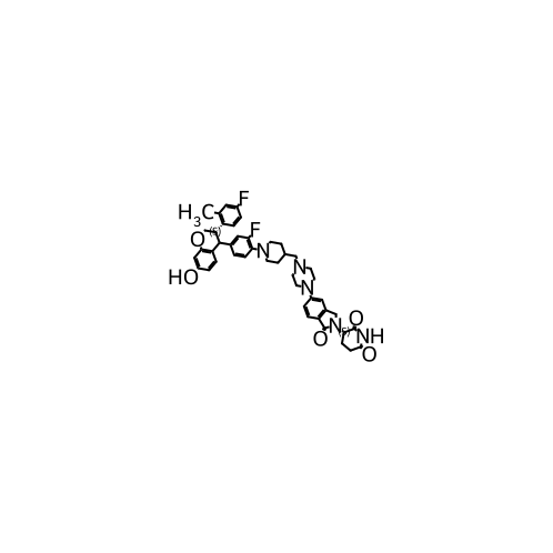 Cc1cc(F)ccc1[C@H]1COc2cc(O)ccc2C1c1ccc(N2CCC(CN3CCN(c4ccc5c(c4)CN([C@H]4CCC(=O)NC4=O)C5=O)CC3)CC2)c(F)c1